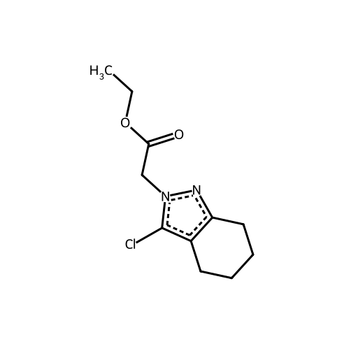 CCOC(=O)Cn1nc2c(c1Cl)CCCC2